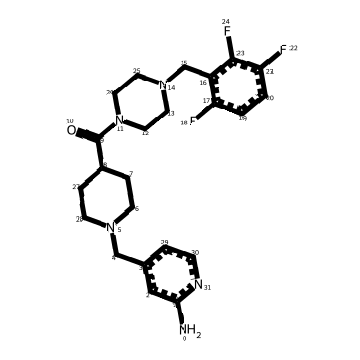 Nc1cc(CN2CCC(C(=O)N3CCN(Cc4c(F)ccc(F)c4F)CC3)CC2)ccn1